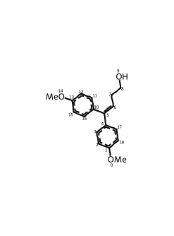 COc1ccc(C(=CCCO)c2ccc(OC)cc2)cc1